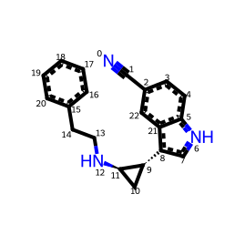 N#Cc1ccc2[nH]cc([C@@H]3C[C@H]3NCCc3ccccc3)c2c1